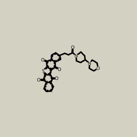 O=C(CCc1ccc2c(=O)c3sc4c(=O)c5ccccc5c(=O)c4c3c(=O)c2c1)N1CCC(N2CCOCC2)CC1